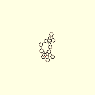 c1ccc(N(c2cccc(-c3cccc(-c4ccc5c6ccccc6n(-c6cccc7c6C(c6ccccc6)(c6ccccc6)c6ccccc6-7)c5c4)c3)c2)c2cccc3c2oc2ccccc23)cc1